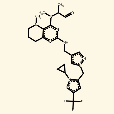 CC(C=O)N(C)c1nc(NCc2cnn(Cc3cc(C(F)(F)F)nn3C3CC3)c2)nc2c1N(C)CCC2